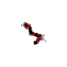 NC(=O)c1c(-c2ccc(Oc3ccccc3)cc2)nn2c1NCC[C@H]2C1CCC(C2CCN(C(=O)N3CCN(c4ccc5c(c4)C(=O)N(C4CCC(=O)NC4=O)C5=O)CC3)CC2)CC1